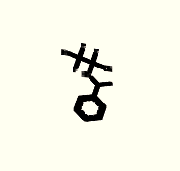 CCC(F)(F)C(F)(C#N)NC(C)c1ccccc1